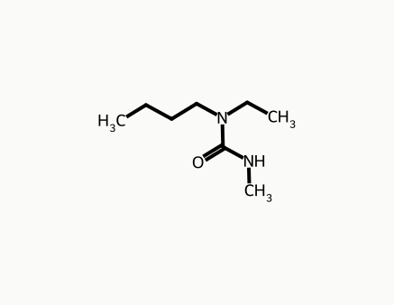 CCCCN(CC)C(=O)NC